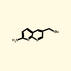 CC(C)(C)Cc1cnc2nc(N)ccc2c1